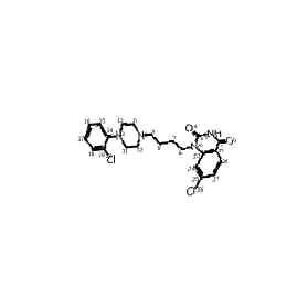 O=c1[nH]c(=O)n(CCCCN2CCN(c3ccccc3Cl)CC2)c2cc(Cl)ccc12